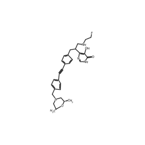 C[C@@H]1CN(Cc2ccc(C#Cc3ccc(CC(CNCCF)c4nc[nH]c(=O)c4O)cc3)cc2)C[C@@H](C)O1